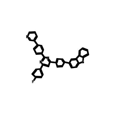 Fc1ccc(-c2cc(-c3ccc(-c4ccc5sc6ccccc6c5c4)cc3)nc(-c3ccc(-c4cccnc4)cc3)n2)cc1